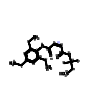 BCc1cc(CB)c(OC(=O)/C=C\C(=O)OC(C)(C)CS(=O)(=O)O)c(CB)c1